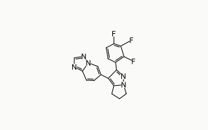 Fc1ccc(-c2nn3c(c2-c2ccc4ncnn4c2)CCC3)c(F)c1F